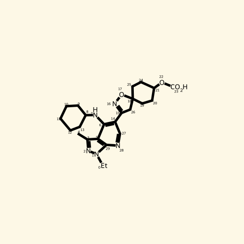 CCn1nc(C)c2c(NC3CCCCC3)c(C3=NOC4(CCC(OC(=O)O)CC4)C3)cnc21